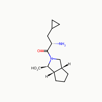 N[C@@H](CC1CC1)C(=O)N1C[C@@H]2CCC[C@@H]2[C@H]1C(=O)O